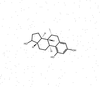 C[C@@H]1Cc2cc(O)cc(O)c2[C@H]2CC[C@@H]3C(O)CC[C@H]3[C@H]12